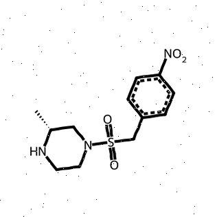 C[C@@H]1CN(S(=O)(=O)Cc2ccc([N+](=O)[O-])cc2)CCN1